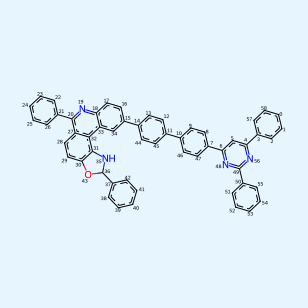 c1ccc(-c2cc(-c3ccc(-c4ccc(-c5ccc6nc(-c7ccccc7)c7ccc8c(c7c6c5)NC(c5ccccc5)O8)cc4)cc3)nc(-c3ccccc3)n2)cc1